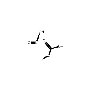 O=C(O)OS.O=NO